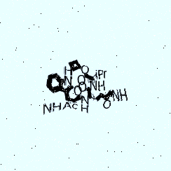 CC(=O)N[C@@H](Cc1c[nH]c2ccccc12)C(=O)N[C@@H](CCC(=O)C=N)C(=O)N[C@H](C(=O)OC1CCC1)C(C)C